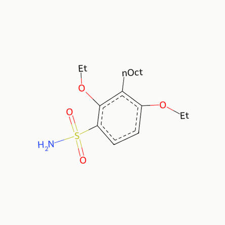 CCCCCCCCc1c(OCC)ccc(S(N)(=O)=O)c1OCC